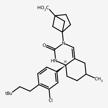 CC1CC[C@]2(c3ccc(CCC(C)(C)C)c(Cl)c3)NC(=O)N(C34CCC(C(=O)O)(C3)C4)C=C2C1